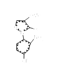 COc1cnn(-c2ccc(C(F)(F)F)cc2[N+](=O)[O-])c1Br